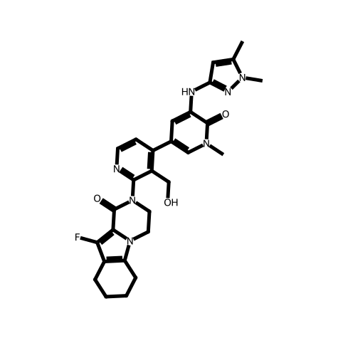 Cc1cc(Nc2cc(-c3ccnc(N4CCn5c6c(c(F)c5C4=O)CCCC6)c3CO)cn(C)c2=O)nn1C